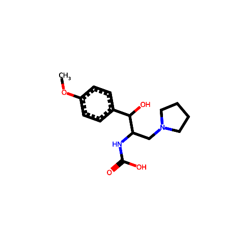 COc1ccc(C(O)C(CN2CCCC2)NC(=O)O)cc1